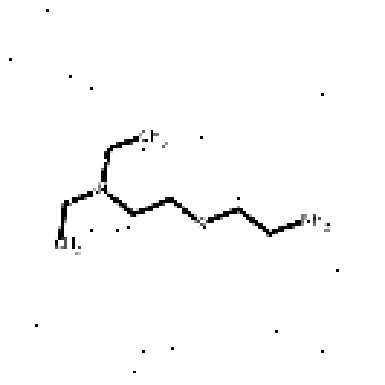 CCN(CC)CCSCCN